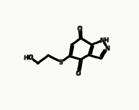 O=C1C(SCCO)=CC(=O)c2[nH]ncc21